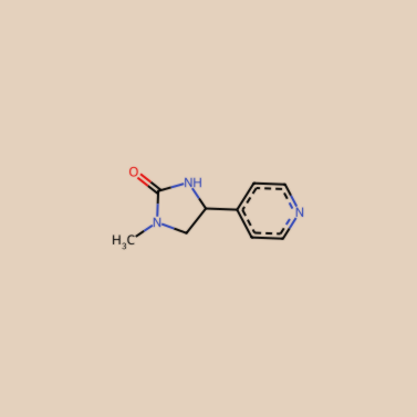 CN1CC(c2ccncc2)NC1=O